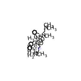 CN(C)CCCN(C)C(=O)[C@@H](Cc1ccccc1)N(C)C(=O)[C@@H](Cc1ccc2ccccc2c1)N(C)C(=O)/C=C/CC(C)(C)N